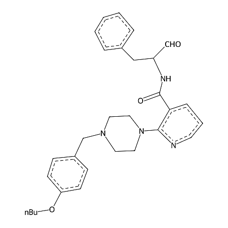 CCCCOc1ccc(CN2CCN(c3ncccc3C(=O)NC(C=O)Cc3ccccc3)CC2)cc1